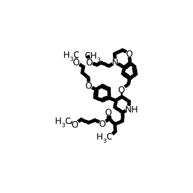 CCC(CC1CC(c2ccc(OCCCOC)cc2)[C@@H](OCc2ccc3c(c2)N(CCCOC)CCO3)CN1)C(=O)OCCCOC